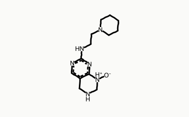 [O-][NH+]1CNCc2cnc(NCCN3CCCCC3)nc21